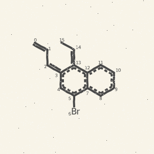 C=C/C=c1/cc(Br)c2ccccc2/c1=C/C